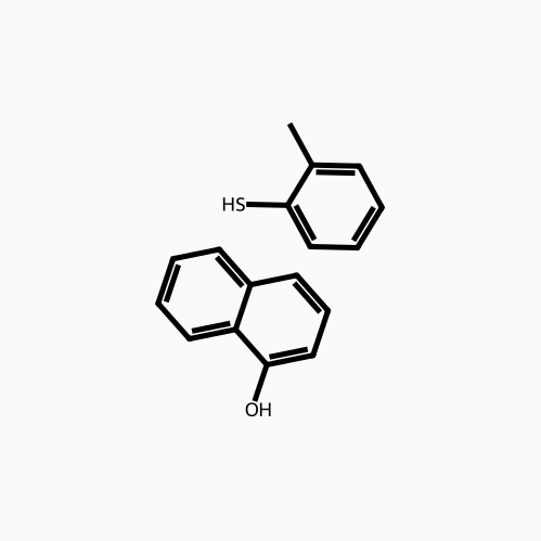 Cc1ccccc1S.Oc1cccc2ccccc12